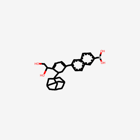 OCC(O)C1=CC=C(c2ccc3cc(B(O)O)ccc3c2)CC1C12CC3CC(CC(C3)C1)C2